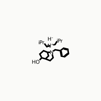 CC(C)[CH2][Al+][CH2]C(C)C.OC1CCC2CC1CCN2Cc1ccccc1.[H-]